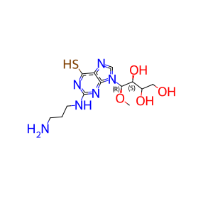 CO[C@H]([C@@H](O)C(O)CO)n1cnc2c(S)nc(NCCCN)nc21